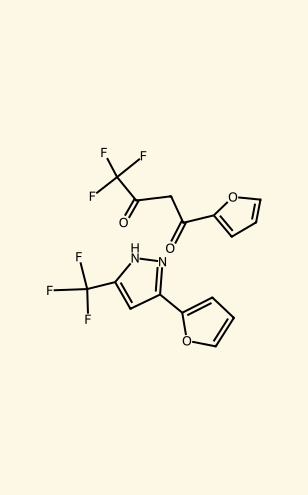 FC(F)(F)c1cc(-c2ccco2)n[nH]1.O=C(CC(=O)C(F)(F)F)c1ccco1